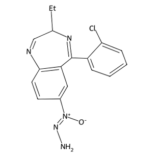 CCC1C=Nc2ccc([N+]([O-])=NN)cc2C(c2ccccc2Cl)=N1